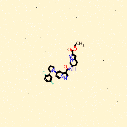 CCOC(=O)c1cc2n(n1)CC(NC(=O)c1cnn3ccc(N4CCC[C@@H]4c4cc(F)ccc4F)cc13)CC2